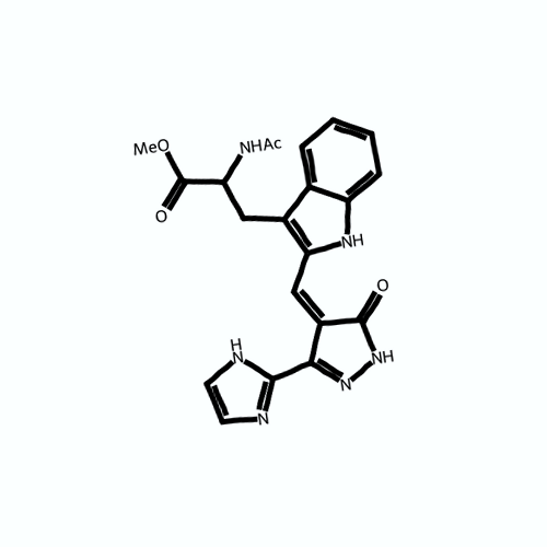 COC(=O)C(Cc1c(/C=C2\C(=O)NN=C2c2ncc[nH]2)[nH]c2ccccc12)NC(C)=O